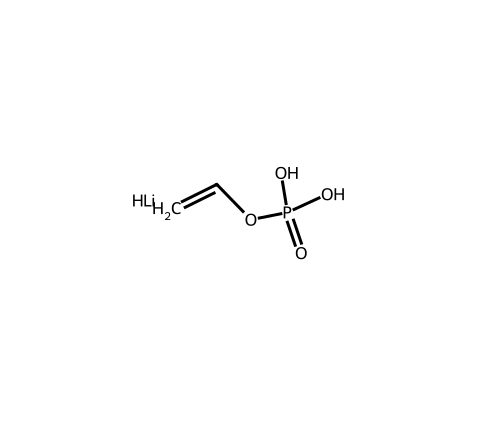 C=COP(=O)(O)O.[LiH]